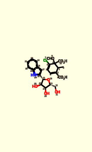 CC1C(C(=O)O)=CC=C(Cl)C1(C=O)C(=O)O.OC[C@H]1O[C@@H](c2cc3ccccc3[nH]2)[C@H](O)[C@@H]1O